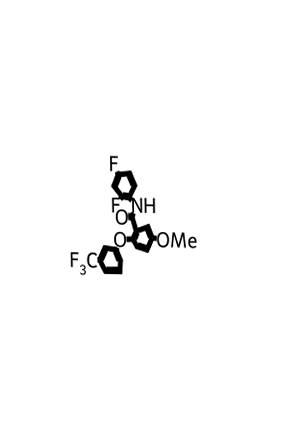 COc1ccc(Oc2cccc(C(F)(F)F)c2)c(C(=O)Nc2ccc(F)cc2F)c1